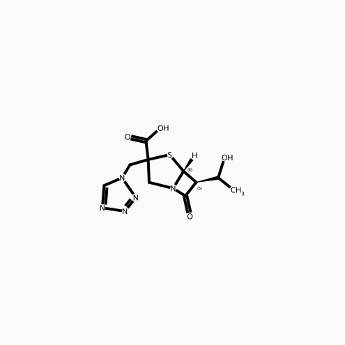 CC(O)[C@H]1C(=O)N2CC(Cn3cnnn3)(C(=O)O)S[C@H]12